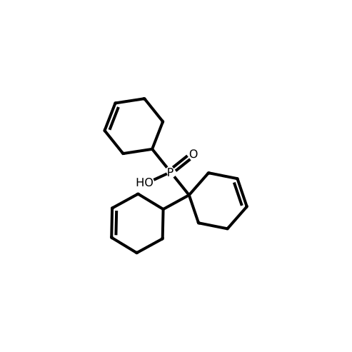 O=P(O)(C1CC=CCC1)C1(C2CC=CCC2)CC=CCC1